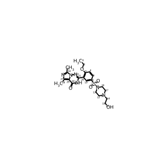 CCOc1ccc(S(=O)(=O)N2CCN(CCO)CC2)cc1-c1nn2c(C)nc(C)c2c(=O)[nH]1